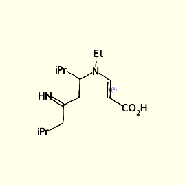 CCN(/C=C/C(=O)O)C(CC(=N)CC(C)C)C(C)C